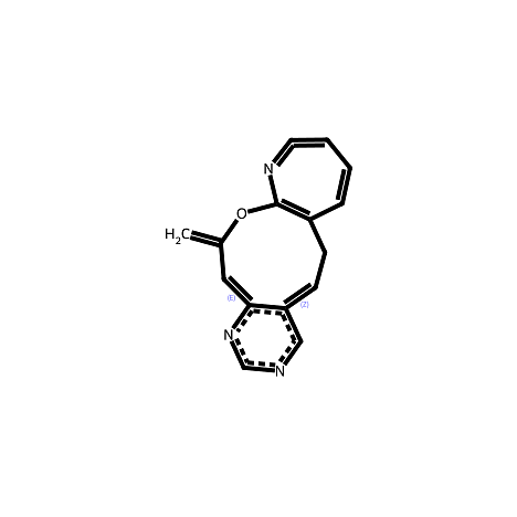 C=C1/C=c2/ncnc/c2=C/CC2=C(N=C=CC=C2)O1